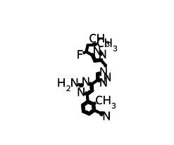 Cc1c(C#N)cccc1-c1cc(-c2cn(Cc3cc4n(n3)C(C)(C)CC4F)nn2)nc(N)n1